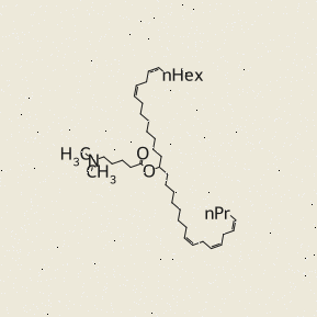 CCC/C=C\C/C=C\C/C=C\CCCCCCCC(CCCCCCC/C=C\C/C=C\CCCCCC)OC(=O)CCCCN(C)C